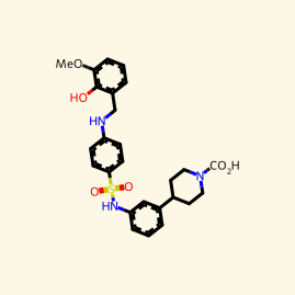 COc1cccc(CNc2ccc(S(=O)(=O)Nc3cccc(C4CCN(C(=O)O)CC4)c3)cc2)c1O